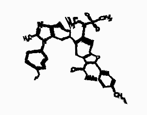 CNC(=O)c1c(-c2ccc(C)cc2)oc2cc(N(C)S(C)(=O)=O)c(-c3ccc4nc(C)n(-c5ccc(F)cc5)c4c3)cc12